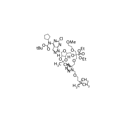 CCOP(=O)(OCC)C(COCCOC)(COCc1nnnn1COCC[Si](C)(C)C)OCC1O[C@@H](n2ncc3c(N(C(=O)OC(C)(C)C)C4CCCC4)nc(Cl)nc32)[C@@H]2OC(C)(C)O[C@H]12